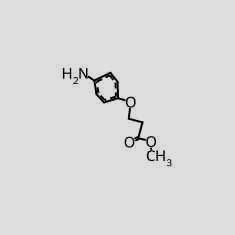 COC(=O)CCOc1ccc(N)cc1